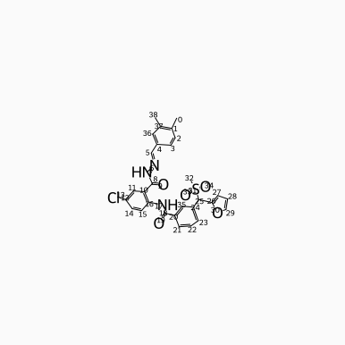 Cc1ccc(/C=N/NC(=O)c2cc(Cl)ccc2NC(=O)c2cccc(C(c3ccco3)S(C)(=O)=O)c2)cc1C